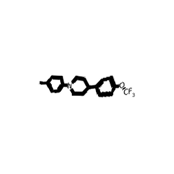 Cc1ccc(N2CCC(c3ccc(OC(F)(F)F)cc3)CC2)cc1